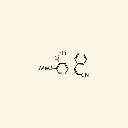 CCCOc1cc(/C(=C/C#N)c2ccccc2)ccc1OC